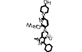 COc1nc(N2CCC(O)CC2)ccc1N1C=c2c(c(C3CCCCC3)nn2C)=[N+]([O-])C1